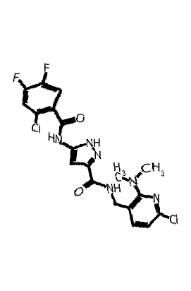 CN(C)c1nc(Cl)ccc1CNC(=O)c1cc(NC(=O)c2cc(F)c(F)cc2Cl)[nH]n1